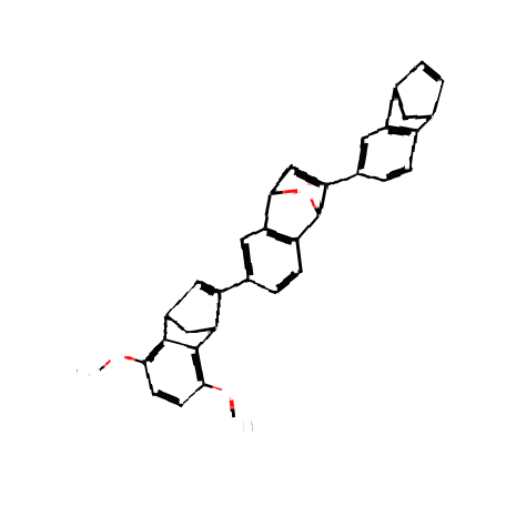 COc1ccc(OC)c2c1C1C=C(c3ccc4c(c3)C3C=C(c5ccc6c(c5)C5C=CC6C5)C4O3)C2C1